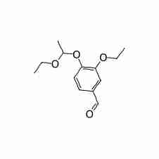 CCOc1cc(C=O)ccc1OC(C)OCC